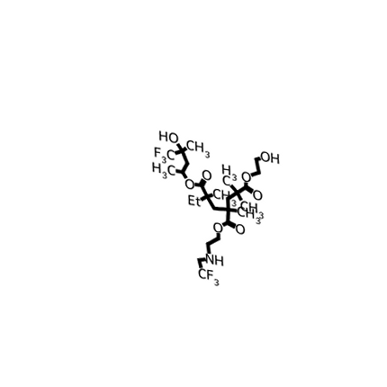 CCC(C)(CC(C)(CC(C)(C)C(=O)OCCO)C(=O)OCCNCC(F)(F)F)C(=O)OC(C)CC(C)(O)C(F)(F)F